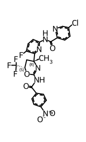 C[C@]1(c2nc(NC(=O)c3ccc(Cl)cn3)ccc2F)C[C@@H](C(F)(F)F)OC(NC(=O)c2ccc([N+](=O)[O-])cc2)=N1